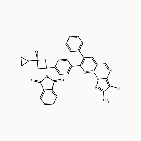 Cc1nn2c(ncc3cc(-c4ccccc4)c(-c4ccc([C@]5(N6C(=O)c7ccccc7C6=O)C[C@@](O)(C6CC6)C5)cc4)nc32)c1Cl